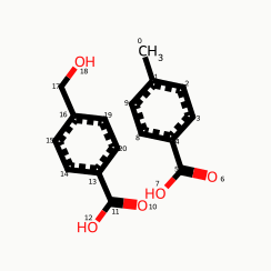 Cc1ccc(C(=O)O)cc1.O=C(O)c1ccc(CO)cc1